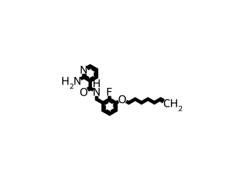 C=CCCCCCOc1cccc(CNC(=O)c2cccnc2N)c1F